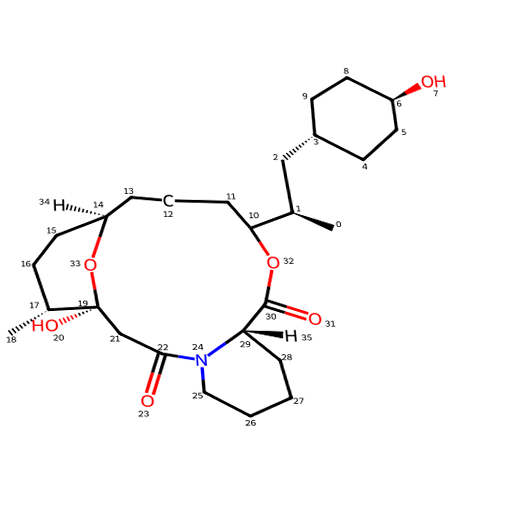 C[C@H](C[C@H]1CC[C@H](O)CC1)C1CCC[C@@H]2CC[C@@H](C)[C@](O)(CC(=O)N3CCCC[C@H]3C(=O)O1)O2